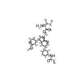 C=CC(=O)Nc1cccc(-c2cnc3c(c2)c(-c2ccnc(OC)c2)cn3COC(=O)[C@@H](N)[C@@H](C)CC)c1